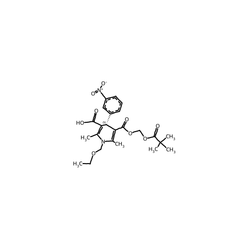 CCOCN1C(C)=C(C(=O)O)[C@H](c2cccc([N+](=O)[O-])c2)C(C(=O)OCOC(=O)C(C)(C)C)=C1C